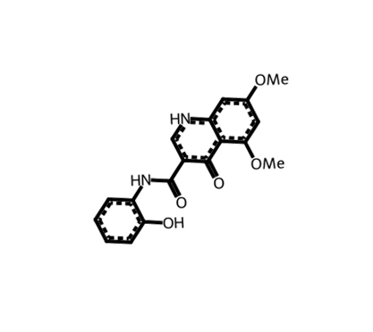 COc1cc(OC)c2c(=O)c(C(=O)Nc3ccccc3O)c[nH]c2c1